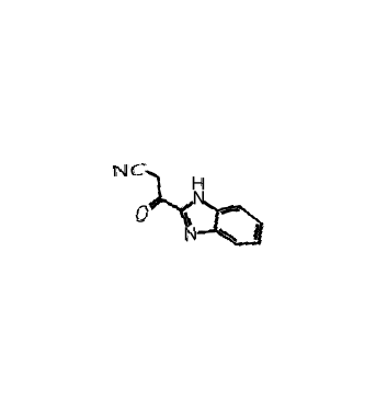 N#CCC(=O)c1nc2ccccc2[nH]1